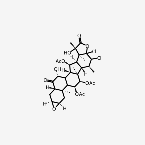 CC(=O)O[C@H]1[C@@H]2[C@H]([C@H](C)C(Cl)C3(Cl)OC(=O)[C@@](C)(O)[C@]23C)[C@]2(C)[C@@H]1C1C([C@H](OC(C)=O)[C@@H]2OC(C)=O)[C@@]2(C)C[C@H]3O[C@H]3C[C@@H]2C(=O)[C@@H]1O